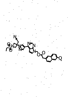 CCS(=O)(=O)N1CC(CC#N)(n2cc(-c3ncnc4c3ccn4COC(=O)Cc3ccc4cc(OC)ccc4c3)cn2)C1